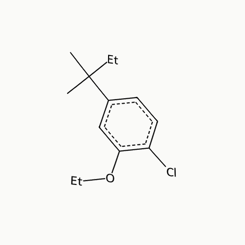 CCOc1cc(C(C)(C)CC)ccc1Cl